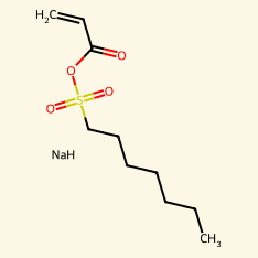 C=CC(=O)OS(=O)(=O)CCCCCCC.[NaH]